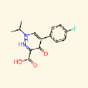 CC(C)N/C=C(\C(=O)C(=N)C(=O)O)c1ccc(F)cc1